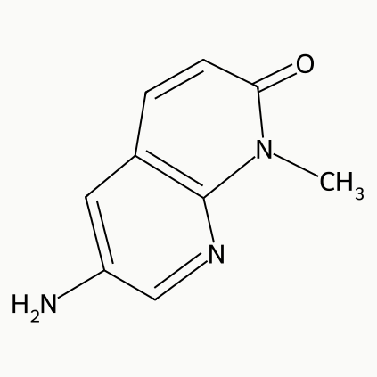 Cn1c(=O)ccc2cc(N)cnc21